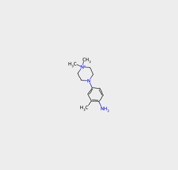 Cc1cc(N2CC[N+](C)(C)CC2)ccc1N